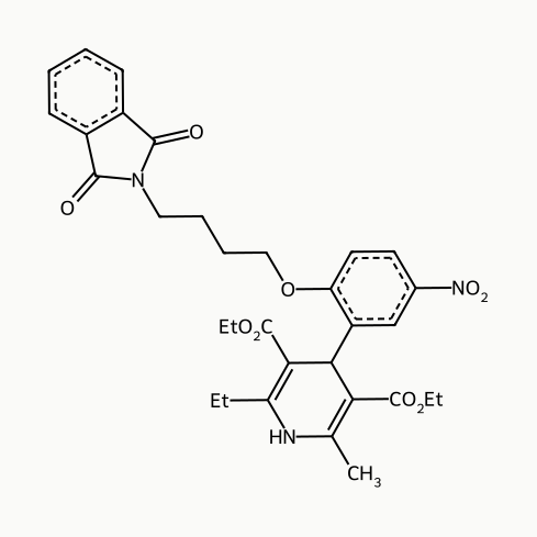 CCOC(=O)C1=C(C)NC(CC)=C(C(=O)OCC)C1c1cc([N+](=O)[O-])ccc1OCCCCN1C(=O)c2ccccc2C1=O